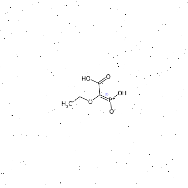 CCO/C(C(=O)O)=[P+](\[O-])O